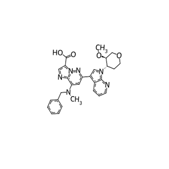 CO[C@H]1COCC[C@@H]1n1cc(-c2cc(N(C)Cc3ccccc3)c3ncc(C(=O)O)n3n2)c2cccnc21